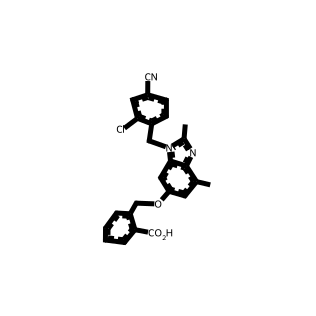 Cc1cc(OCc2ccccc2C(=O)O)cc2c1nc(C)n2Cc1ccc(C#N)cc1Cl